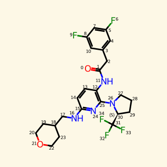 O=C(Cc1cc(F)cc(F)c1)Nc1ccc(NCC2CCOCC2)nc1N1CCC[C@H]1C(F)(F)F